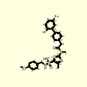 COc1ccc(CNS(=N)(=O)c2sc(N(C)C(=O)Cc3ccc(-c4cc(F)ccc4F)cc3)nc2C)cc1